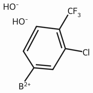 [B+2]c1ccc(C(F)(F)F)c(Cl)c1.[OH-].[OH-]